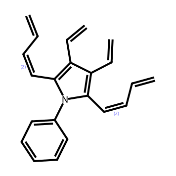 C=C/C=C\c1c(C=C)c(C=C)c(/C=C\C=C)n1-c1ccccc1